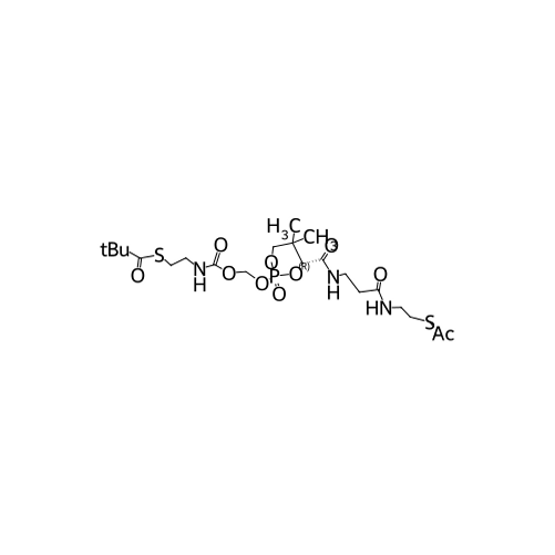 CC(=O)SCCNC(=O)CCNC(=O)[C@@H]1OP(=O)(OCOC(=O)NCCSC(=O)C(C)(C)C)OCC1(C)C